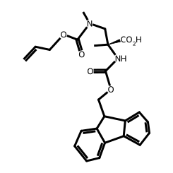 C=CCOC(=O)N(C)C[C@@](C)(NC(=O)OCC1c2ccccc2-c2ccccc21)C(=O)O